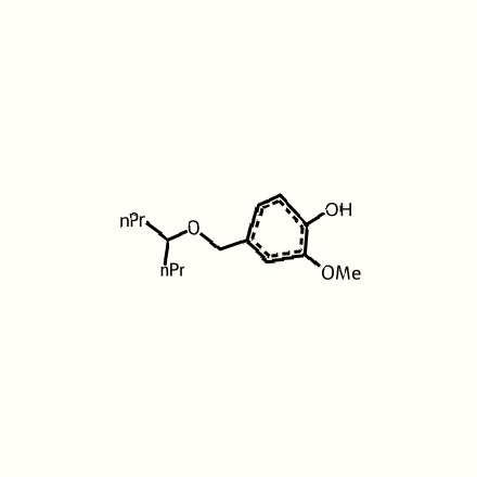 CCCC(CCC)OCc1ccc(O)c(OC)c1